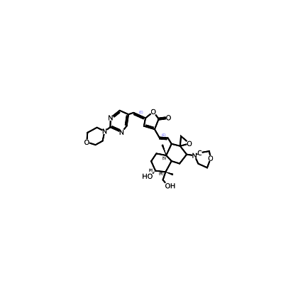 C[C@]12CC[C@@H](O)[C@@](C)(CO)C1CC(N1CCOCC1)C1(CO1)C2/C=C/C1=CC(=C\c2cnc(N3CCOCC3)nc2)/OC1=O